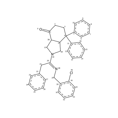 O=C1CCC(c2ccccc2)(c2ccccc2)C2CN(C(Cc3ccccc3)=NCc3ccccc3Cl)CC12